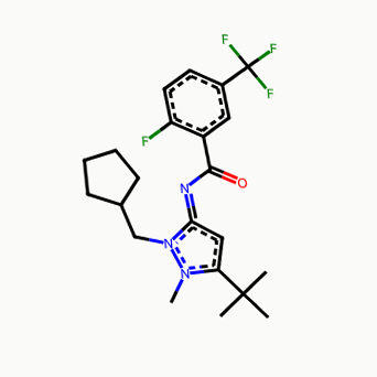 Cn1c(C(C)(C)C)cc(=NC(=O)c2cc(C(F)(F)F)ccc2F)n1CC1CCCC1